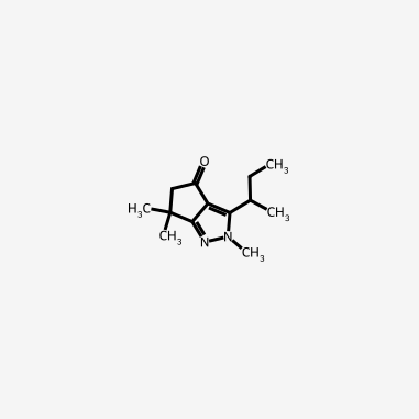 CCC(C)c1c2c(nn1C)C(C)(C)CC2=O